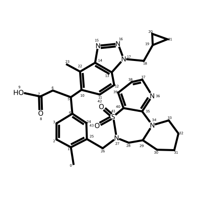 Cc1ccc(C(CC(=O)O)c2ccc3c(nnn3CC3CC3)c2C)cc1CN1CC2CCCCN2c2ncccc2S1(=O)=O